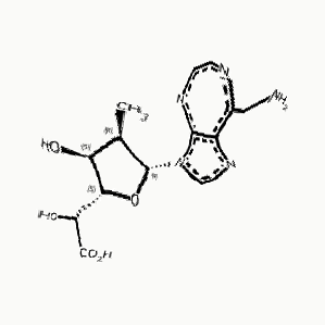 C[C@@H]1[C@H](O)[C@@H](C(O)C(=O)O)O[C@H]1n1cnc2c(N)ncnc21